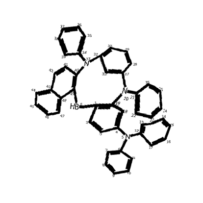 B1c2ccc(N(c3ccccc3)c3ccccc3)cc2N(c2ccccc2)c2cccc(c2)N(c2ccccc2)c2ccc3ccccc3c21